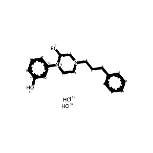 CCC1CN(CCCc2ccccc2)CCN1c1cccc(O)c1.Cl.Cl